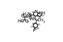 CC(Nc1c(C(N)=O)cnc2[nH]ccc12)c1ccc(F)cc1.O=C(O)C(=O)O